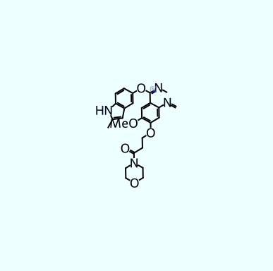 C=Nc1cc(OCCC(=O)N2CCOCC2)c(OC)cc1/C(=N\C)Oc1ccc2[nH]c(C)cc2c1